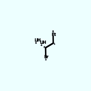 CCCCBr.[LiH].[LiH]